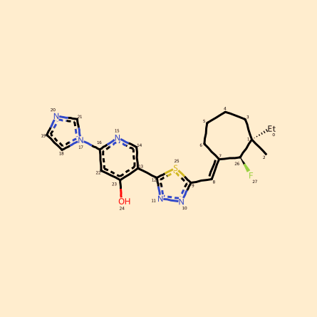 CC[C@@]1(C)CCCC/C(=C\c2nnc(-c3cnc(-n4ccnc4)cc3O)s2)[C@@H]1F